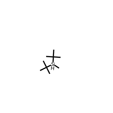 C[SiH](C(C)(C)C)C(C)(C)C